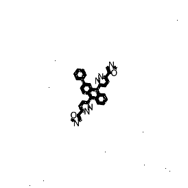 c1ccc(-c2ccc3c(-c4ccc(-c5cnco5)nn4)c4ccccc4c(-c4ccc(-c5cnco5)nn4)c3c2)cc1